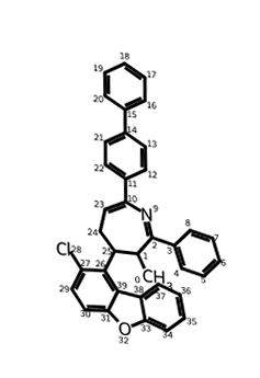 CC1C(c2ccccc2)=NC(c2ccc(-c3ccccc3)cc2)=CCC1c1c(Cl)ccc2oc3ccccc3c12